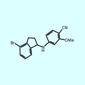 COc1cc(NC2CCc3c(Br)cccc32)ccc1C#N